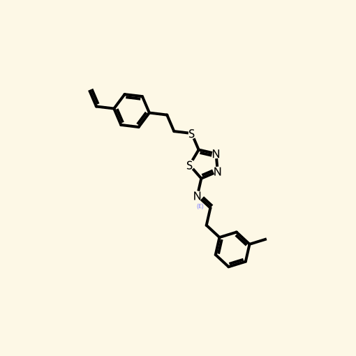 C=Cc1ccc(CCSc2nnc(/N=C/Cc3cccc(C)c3)s2)cc1